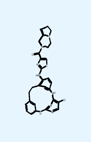 O=C(c1coc(Nc2ccc3cc2CCc2cccc(c2)Nc2ncc(Cl)c(n2)N3)n1)N1CCN2CCCC2C1